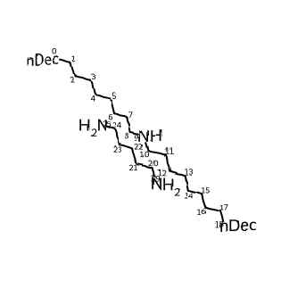 CCCCCCCCCCCCCCCCCCNCCCCCCCCCCCCCCCCCC.NCCCCCN